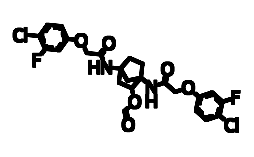 O=COC1CC2(NC(=O)COc3ccc(Cl)c(F)c3)CCC1(NC(=O)COc1ccc(Cl)c(F)c1)C2